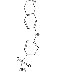 NS(=O)(=O)c1ccc(Nc2ccc3c(c2)CNCC3)cc1